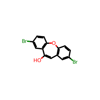 OC1=Cc2cc(Br)ccc2Oc2ccc(Br)cc21